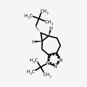 CC(C)(C)C[C@@H]1[C@@H]2CCc3nnn(C(C)(C)C)c3C[C@@H]21